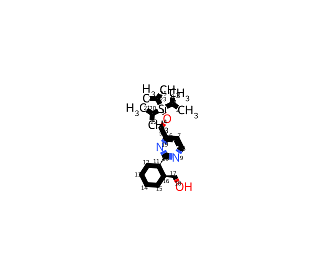 CC(C)[Si](OCc1ccnc([C@H]2CCCC[C@@H]2CO)n1)(C(C)C)C(C)C